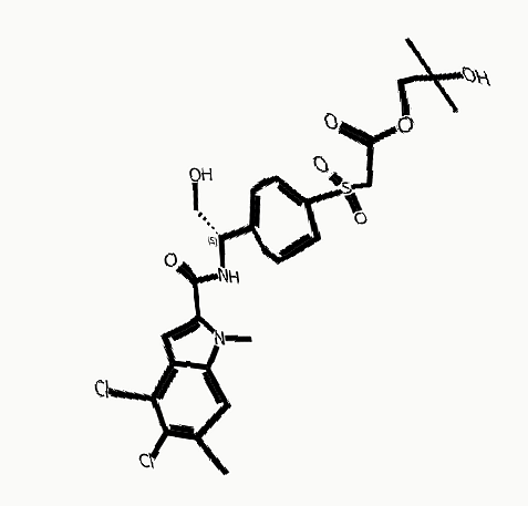 Cc1cc2c(cc(C(=O)N[C@H](CO)c3ccc(S(=O)(=O)CC(=O)OCC(C)(C)O)cc3)n2C)c(Cl)c1Cl